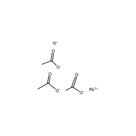 CC(=O)[O-].CC(=O)[O-].CC(=O)[O-].[Pb+2].[Tl+]